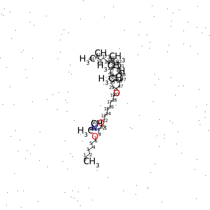 CCCCCCCOCC(COCCCCCCCCO[C@H]1CC[C@@]2(C)C(=CC[C@H]3[C@@H]4CC[C@H]([C@H](C)CCCC(C)C)[C@@]4(C)CC[C@@H]32)C1)N(C)C